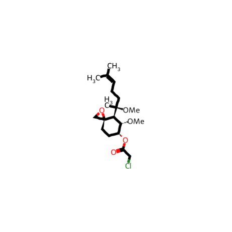 CO[C@@H]1[C@H](OC(=O)CCl)CC[C@]2(CO2)[C@H]1[C@](C)(CCC=C(C)C)OC